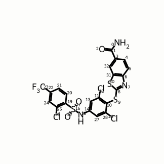 NC(=O)c1ccc2nc(Sc3c(Cl)cc(NS(=O)(=O)c4ccc(C(F)(F)F)cc4Cl)cc3Cl)sc2c1